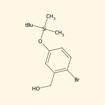 CC(C)(C)[Si](C)(C)Oc1ccc(Br)c(CO)c1